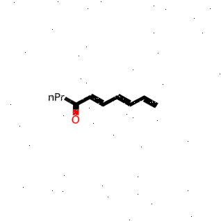 C=C/C=C/C=C/C(=O)CCC